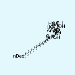 CCCCCCCCCCCCCCCCCCCCCCCCCCCC(=O)OC[C@H](O)COP(=O)(O)OC1C(OC(C)=O)C(O)[C@@H](O)C(O)[C@H]1O